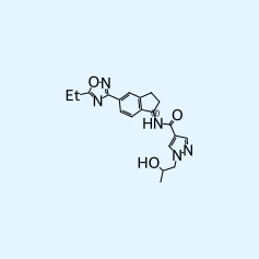 CCc1nc(-c2ccc3c(c2)CC[C@H]3NC(=O)c2cnn(CC(C)O)c2)no1